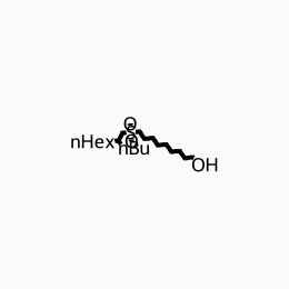 CCCCCCC(CCCC)CS(=O)(=O)CCCCCCCCCO